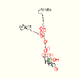 CCCCC/C=C\C/C=C\CCCCCCCC(=O)OC(CCOCCCC(=O)OCC(=O)[C@@]1(O)[C@H](C)C[C@H]2[C@@H]3CCC4=CC(=O)C=C[C@]4(C)[C@@]3(F)[C@@H](O)C[C@@]21C)CCOC(=O)CCCCCC/C=C\C/C=C\CCCCCC